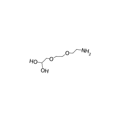 NCCOCCOCC(O)O